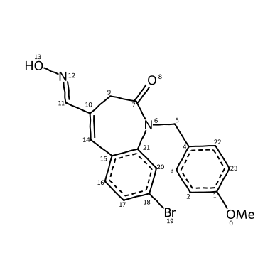 COc1ccc(CN2C(=O)CC(C=NO)=Cc3ccc(Br)cc32)cc1